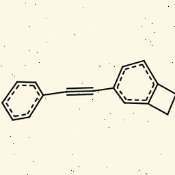 C(#Cc1ccc2c(c1)CC2)c1ccccc1